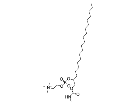 CCCCCCCCCCCCCCCCCCC(COC(=O)NC)OP(=O)([O-])OCC[N+](C)(C)C